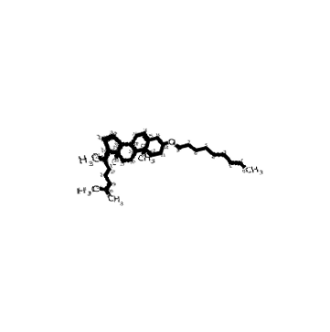 CCCCCCCCCOC1CCC2(C)C(=CCC3C2CCC2(C)C(C(C)CCCC(C)C)CCC32)C1